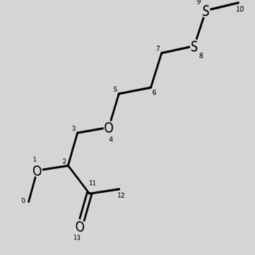 COC(COCCCSSC)C(C)=O